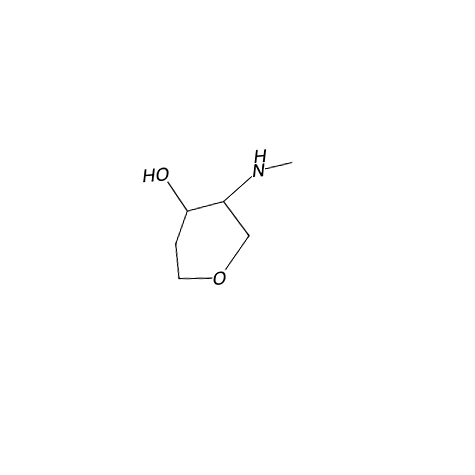 CNC1COCCC1O